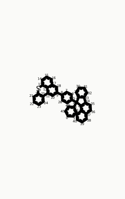 c1ccc(C2(c3ccc(-c4cc5c6c(cccc6c4)Sc4ccccc4-5)cc3)c3ccccc3-c3ccc4ccccc4c32)cc1